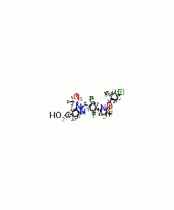 CC1(C)COCC1n1c(Cc2cc(F)c(-c3ccc(F)c(OCc4ccc(Cl)cc4F)n3)cc2F)nc2ccc(C(=O)O)cc21